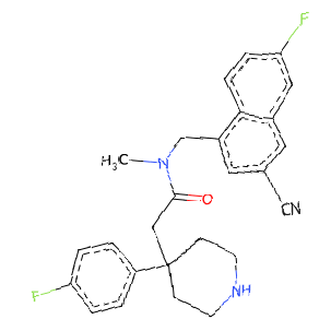 CN(Cc1cc(C#N)cc2cc(F)ccc12)C(=O)CC1(c2ccc(F)cc2)CCNCC1